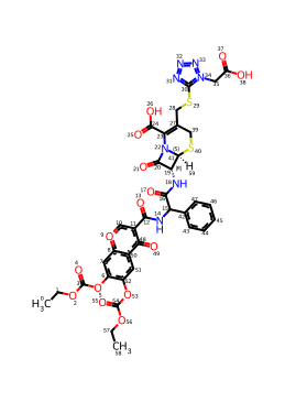 CCOC(=O)Oc1cc2occ(C(=O)NC(C(=O)N[C@@H]3C(=O)N4C(C(=O)O)=C(CSc5nnnn5CC(=O)O)CS[C@@H]34)c3ccccc3)c(=O)c2cc1OC(=O)OCC